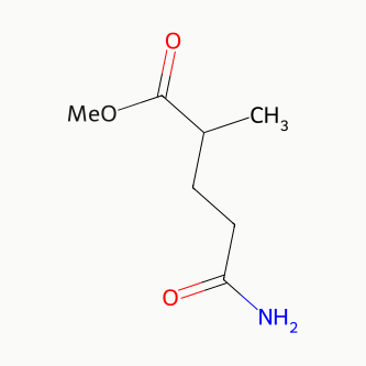 COC(=O)C(C)CCC(N)=O